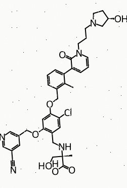 Cc1c(COc2cc(OCc3cncc(C#N)c3)c(CN[C@@](C)(CO)C(=O)O)cc2Cl)cccc1-c1cccn(CCCN2CC[C@@H](O)C2)c1=O